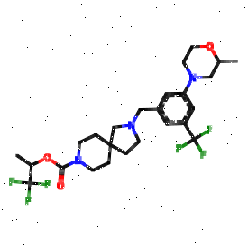 CC1CN(c2cc(CN3CCC4(CCN(C(=O)OC(C)C(F)(F)F)CC4)C3)cc(C(F)(F)F)c2)CCO1